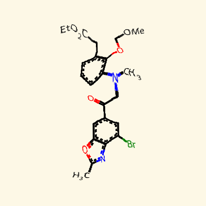 CCOC(=O)Cc1cccc(N(C)CC(=O)c2cc(Br)c3nc(C)oc3c2)c1OCOC